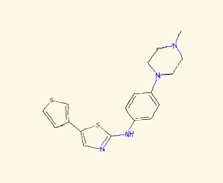 CN1CCN(c2ccc(Nc3ncc(-c4ccsc4)s3)cc2)CC1